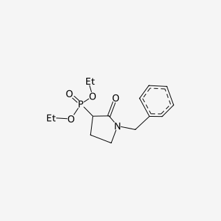 CCOP(=O)(OCC)C1CCN(Cc2ccccc2)C1=O